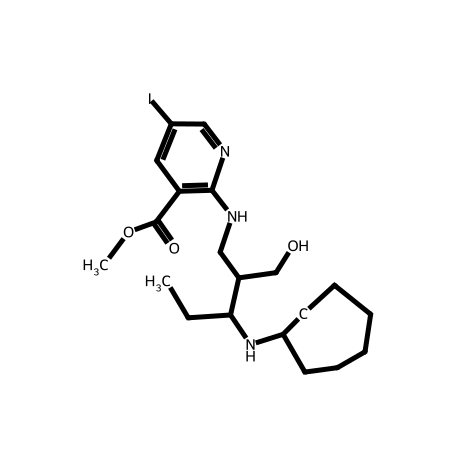 CCC(NC1CCCCCC1)C(CO)CNc1ncc(I)cc1C(=O)OC